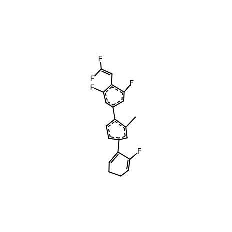 Cc1cc(C2=CCCC=C2F)ccc1-c1cc(F)c(C=C(F)F)c(F)c1